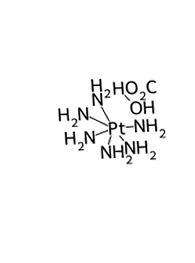 O=C(O)O.[NH2][Pt]([NH2])([NH2])([NH2])([NH2])[NH2]